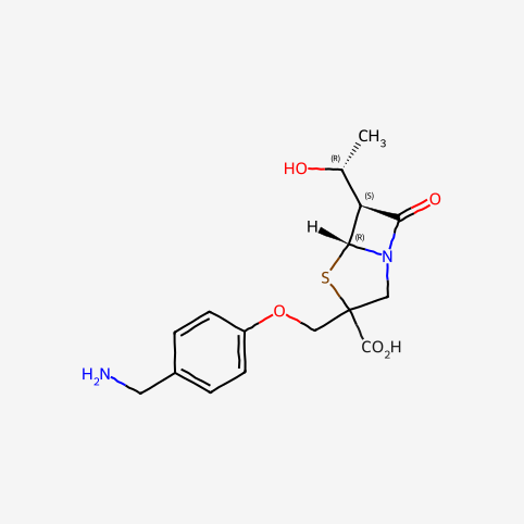 C[C@@H](O)[C@H]1C(=O)N2CC(COc3ccc(CN)cc3)(C(=O)O)S[C@H]12